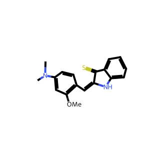 COc1cc(N(C)C)ccc1C=C1Nc2ccccc2C1=S